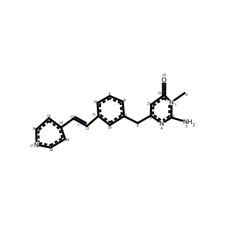 Cn1c(N)nc(Cc2cccc(/C=C/c3ccncc3)c2)cc1=O